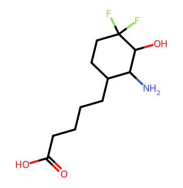 NC1C(CCCCC(=O)O)CCC(F)(F)C1O